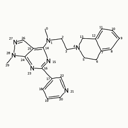 CN(CCN1CCc2ccccc2C1)c1nc(-c2cccnc2)nc2c1cnn2C